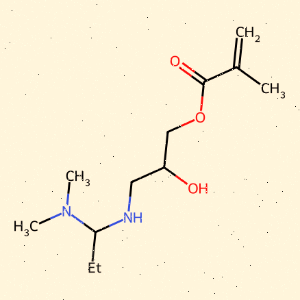 C=C(C)C(=O)OCC(O)CNC(CC)N(C)C